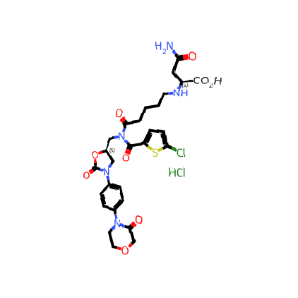 Cl.NC(=O)C[C@H](NCCCCC(=O)N(C[C@H]1CN(c2ccc(N3CCOCC3=O)cc2)C(=O)O1)C(=O)c1ccc(Cl)s1)C(=O)O